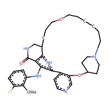 COc1c(F)cccc1Nc1c2[nH]c3c1C(=O)NCC3CCCOCCCCCCN1CCC(CC1)Oc1cnccc1-2